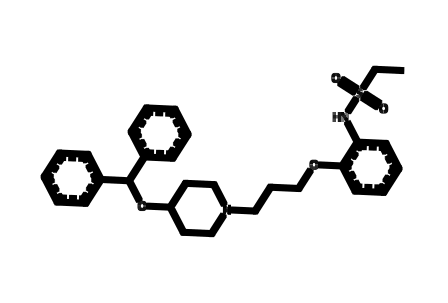 CCS(=O)(=O)Nc1ccccc1OCCCN1CCC(OC(c2ccccc2)c2ccccc2)CC1